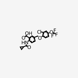 O=C(O)c1cc(COc2ccc(OC(F)(F)F)cc2Cl)ccc1NC(=O)C1CC1